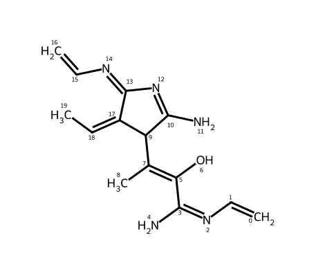 C=C/N=C(N)\C(O)=C(/C)C1C(N)=NC(=N/C=C)/C1=C\C